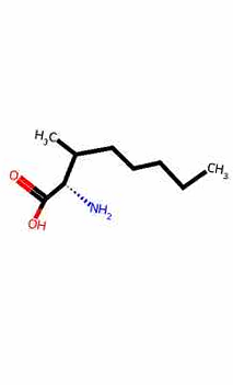 CCCCCC(C)[C@H](N)C(=O)O